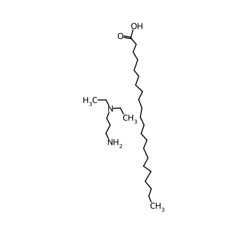 CCCCCCCCCCCCCCCCCCCCCC(=O)O.CCN(CC)CCCN